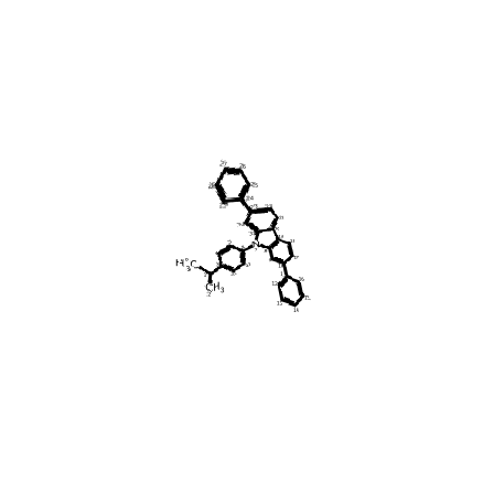 CC(C)c1ccc(-n2c3cc(-c4ccccc4)ccc3c3ccc(-c4ccccc4)cc32)cc1